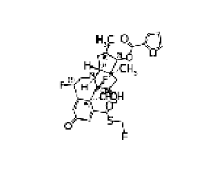 C[C@@H]1C[C@H]2[C@@H]3C[C@H](F)C4=CC(=O)C=C(C(=O)SCF)[C@]4(C)[C@@]3(F)[C@@H](O)C[C@]2(C)[C@@H]1OC(=O)c1ccco1